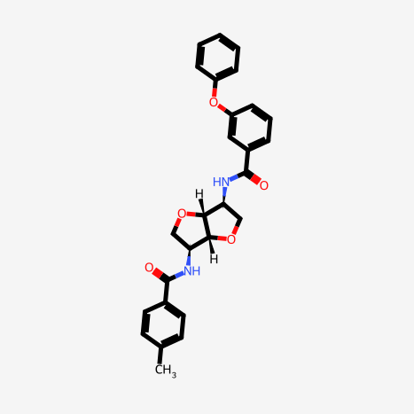 Cc1ccc(C(=O)N[C@H]2CO[C@H]3[C@@H]2OC[C@@H]3NC(=O)c2cccc(Oc3ccccc3)c2)cc1